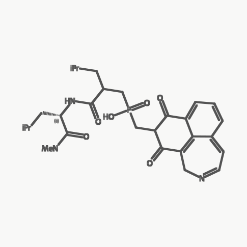 CNC(=O)[C@H](CC(C)C)NC(=O)C(CC(C)C)CP(=O)(O)CC1C(=O)C2=c3c(cccc3=CC=NC2)C1=O